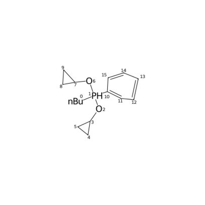 CCCC[PH](OC1CC1)(OC1CC1)c1ccccc1